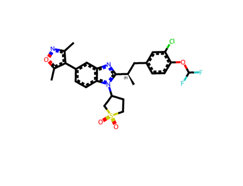 Cc1noc(C)c1-c1ccc2c(c1)nc([C@H](C)Cc1ccc(OC(F)F)c(Cl)c1)n2C1CCS(=O)(=O)C1